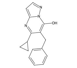 Oc1c(Cc2ccccc2)c(C2CC2)nc2ccnn12